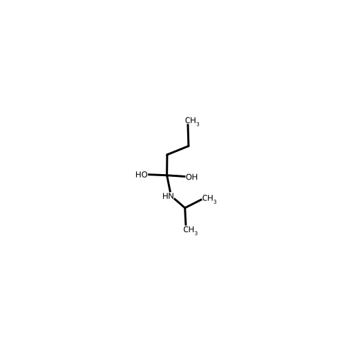 CCCC(O)(O)NC(C)C